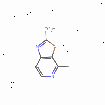 Cc1nccc2nc(C(=O)O)sc12